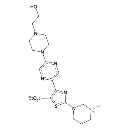 CCOC(=O)c1sc(N2CCC[C@@H](C)C2)nc1-c1cnc(N2CCN(CCO)CC2)cn1